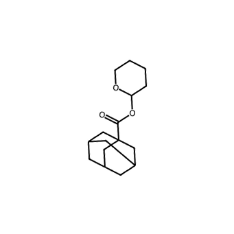 O=C(OC1CCCCO1)C12CC3CC(CC(C3)C1)C2